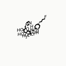 C[C@H](Cl)[C@@H](NC(O)[C@@H]1CC[C@H](CCCCF)CCN1)[C@H]1OC(Cn2ccnc2)[C@H](O)C(O)C1O